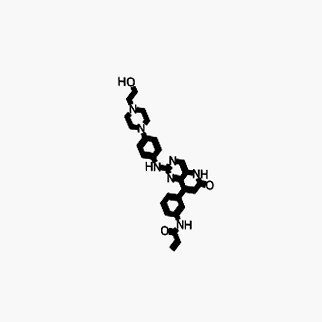 C=CC(=O)Nc1cccc(-c2cc(=O)[nH]c3cnc(Nc4ccc(N5CCN(CCO)CC5)cc4)nc23)c1